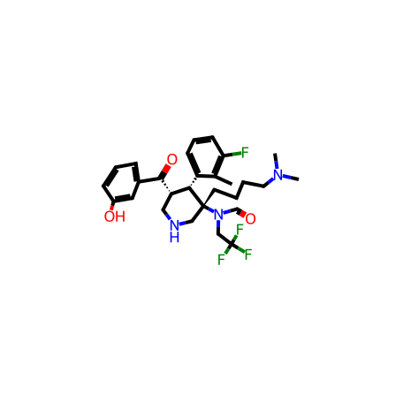 Cc1c(F)cccc1[C@H]1[C@@H](C(=O)c2cccc(O)c2)CNC[C@@]1(CCCCN(C)C)N(C=O)CC(F)(F)F